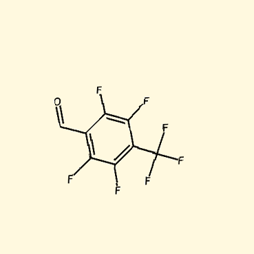 O=Cc1c(F)c(F)c(C(F)(F)F)c(F)c1F